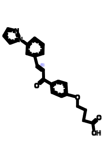 O=C(O)CCCOc1ccc(C(=O)/C=C/c2cccc(-n3cccn3)c2)cc1